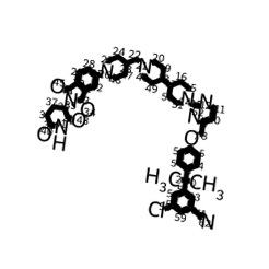 CC(C)(c1ccc(OCc2ccnc(N3CCC(C4CCN(CC5CCN(c6ccc7c(c6)C(=O)N(C6CCC(=O)NC6=O)C7=O)CC5)CC4)CC3)n2)cc1)c1cc(Cl)cc(C#N)c1